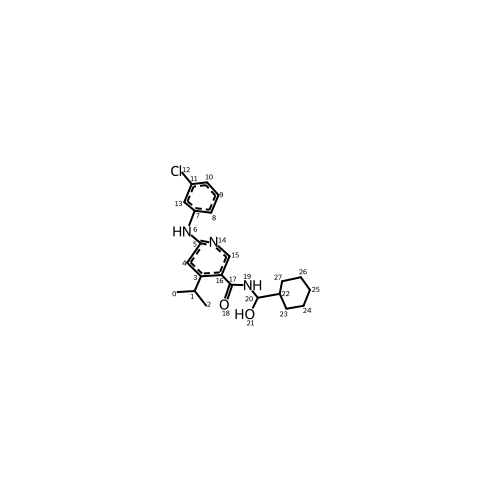 CC(C)c1cc(Nc2cccc(Cl)c2)ncc1C(=O)NC(O)C1CCCCC1